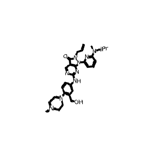 C=CCn1c(=O)c2cnc(Nc3ccc(N4CCN(C)CC4)c(CO)c3)nc2n1-c1cccc(N(C)C(C)C)n1